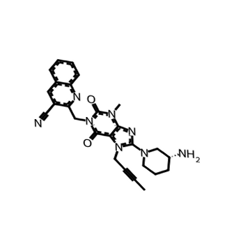 CC#CCn1c(N2CCC[C@@H](N)C2)nc2c1c(=O)n(Cc1nc3ccccc3cc1C#N)c(=O)n2C